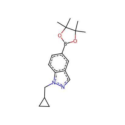 CC1(C)OB(c2ccc3c(cnn3CC3CC3)c2)OC1(C)C